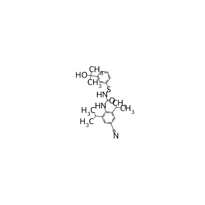 CC(C)c1cc(C#N)cc(C(C)C)c1NC(=O)NSc1cccc(C(C)(C)O)c1